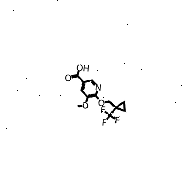 COc1cc(C(=O)O)cnc1OCC1(C(F)(F)F)CC1